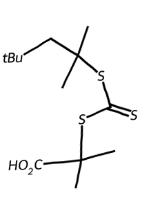 CC(C)(C)CC(C)(C)SC(=S)SC(C)(C)C(=O)O